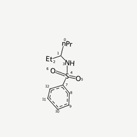 CCCC(CC)NS(=O)(=O)c1ccccc1